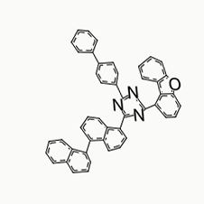 c1ccc(-c2ccc(-c3nc(-c4cccc5c(-c6cccc7ccccc67)cccc45)nc(-c4cccc5oc6ccccc6c45)n3)cc2)cc1